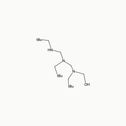 CC(C)(C)CNCN(CN(CO)CC(C)(C)C)CC(C)(C)C